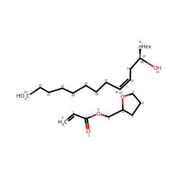 C=CC(=O)OCC1CCCO1.CCCCCC[C@@H](O)C/C=C\CCCCCCCC(=O)O